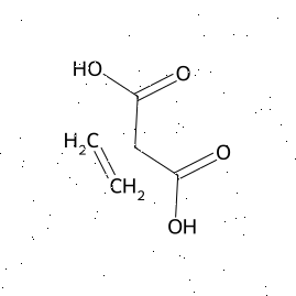 C=C.O=C(O)CC(=O)O